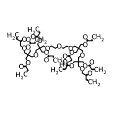 C=CC(=O)COCC(COCC(COCCOCCOCC(COCC(COCC(=O)C=C)(COC(=O)C=C)COC(=O)C=C)(COC(=O)C=C)COC(=O)C=C)(COC(=O)C=C)COC(=O)C=C)(COC(=O)C=C)COC(=O)C=C